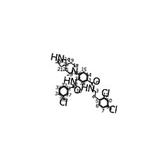 O=C(NCCc1ccc(Cl)cc1Cl)c1ccc(N2CCC3(CCNC3)CC2)c(NC(=O)c2cccc(Cl)c2)c1